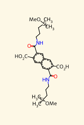 CO[Si](C)(C)CCCNC(=O)c1cc2cc(C(=O)O)c(C(=O)NCCC[Si](C)(C)OC)cc2cc1C(=O)O